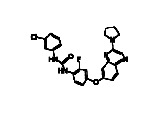 O=C(Nc1cccc(Cl)c1)Nc1ccc(Oc2ccc3ncc(N4CCCC4)nc3c2)cc1F